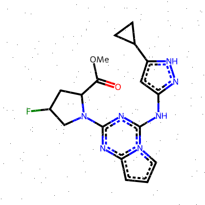 COC(=O)C1CC(F)CN1c1nc(Nc2cc(C3CC3)[nH]n2)n2cccc2n1